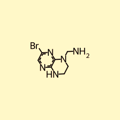 NCN1CCNc2ncc(Br)nc21